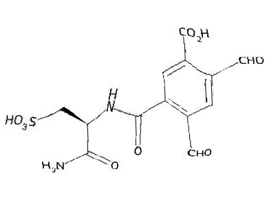 NC(=O)[C@@H](CS(=O)(=O)O)NC(=O)c1cc(C(=O)O)c(C=O)cc1C=O